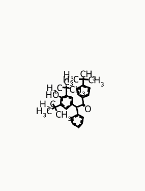 CC(C)(C)c1ccc(C(=O)C(c2ccccc2)c2cc(C(C)(C)C)c(O)c(C(C)(C)C)c2)cc1